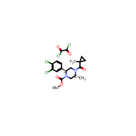 C[C@@H]1CN(C(=O)OC(C)(C)C)[C@@H](c2ccc(Cl)c(Cl)c2)CN1C(=O)C1(C(F)(F)F)CC1.O=C(Cl)C(=O)Cl